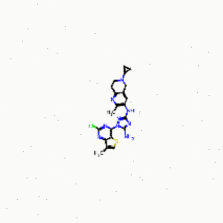 Cc1nc2c(cc1Nc1nc(N)n(-c3nc(Cl)nc4c(C)csc34)n1)CN(C1CC1)CC2